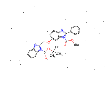 CCC(C)(C)OC(=O)n1c(COc2ccc3nc(-c4ccccc4)n(C(=O)OC(C)(C)C)c3c2)nc2ccccc21